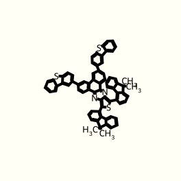 CC1(C)c2ccccc2-c2c(-c3sc(-c4cccc5c4-c4ccccc4C5(C)C)c4nc5c6ccc(-c7ccc8sc9ccccc9c8c7)cc6c6cc(-c7ccc8sc9ccccc9c8c7)ccc6c5nc34)cccc21